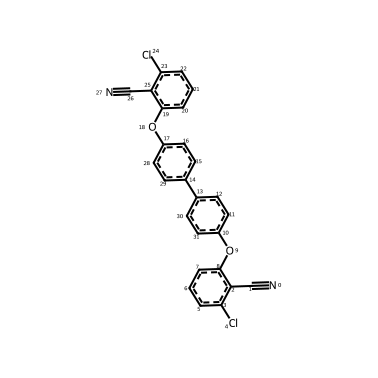 N#Cc1c(Cl)cccc1Oc1ccc(-c2ccc(Oc3cccc(Cl)c3C#N)cc2)cc1